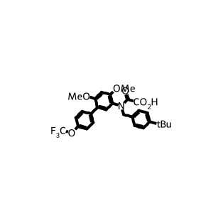 COc1cc(OC)c(N(Cc2ccc(C(C)(C)C)cc2)C(=O)C(=O)O)cc1-c1ccc(OC(F)(F)F)cc1